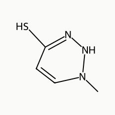 CN1C=CC(S)=NN1